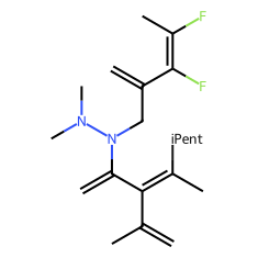 C=C(CN(C(=C)/C(C(=C)C)=C(/C)C(C)CCC)N(C)C)/C(F)=C(\C)F